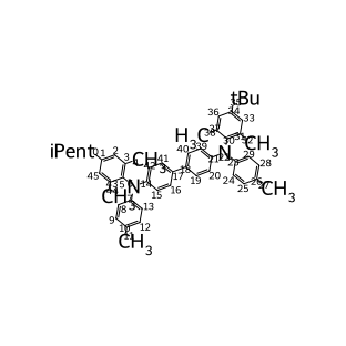 CCCC(C)c1cc(C)c(N(c2ccc(C)cc2)c2ccc(-c3ccc(N(c4ccc(C)cc4)c4c(C)cc(C(C)(C)C)cc4C)cc3)cc2)c(C)c1